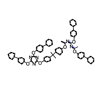 C=C(/N=C(\N=C(/C)Oc1ccc(-c2ccccc2)cc1)Oc1ccc(-c2ccccc2)cc1)Oc1ccc(C(C)(C)c2ccc(Oc3nc(Oc4ccc(-c5ccccc5)cc4)nc(Oc4ccc(-c5ccccc5)cc4)n3)cc2)cc1